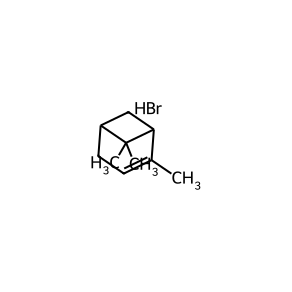 Br.CC1=CCC2CC1C2(C)C